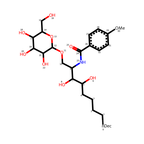 CCCCCCCCCCCCCCC(O)C(O)C(COC1OC(CO)C(O)C(O)C1O)NC(=O)c1ccc(OC)cc1